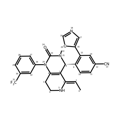 CC=C1NCCC2=C1[C@@H](c1ccc(C#N)cc1-c1cnco1)N(C)C(=O)N2c1cccc(C(F)(F)F)c1